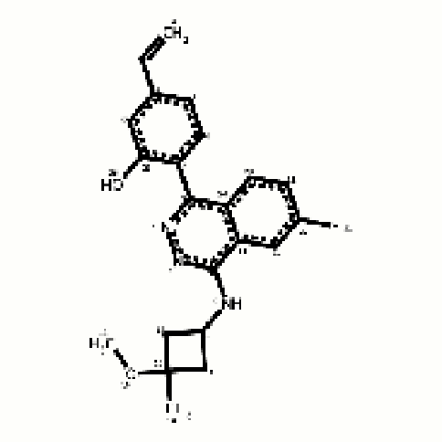 C=Cc1ccc(-c2nnc(NC3CC(C)(OC)C3)c3cc(F)ccc23)c(O)c1